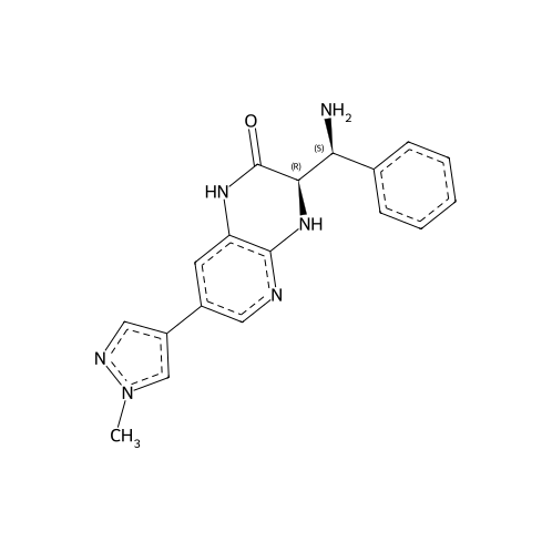 Cn1cc(-c2cnc3c(c2)NC(=O)[C@@H]([C@@H](N)c2ccccc2)N3)cn1